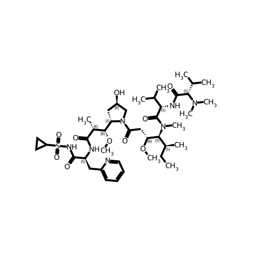 CC[C@H](C)[C@@H]([C@@H](CC(=O)N1C[C@H](O)C[C@H]1[C@H](OC)[C@@H](C)C(=O)N[C@@H](Cc1ccccn1)C(=O)NS(=O)(=O)C1CC1)OC)N(C)C(=O)[C@@H](NC(=O)[C@H](C(C)C)N(C)C)C(C)C